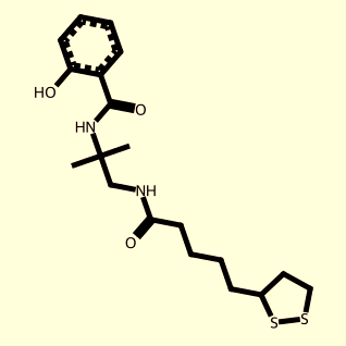 CC(C)(CNC(=O)CCCCC1CCSS1)NC(=O)c1ccccc1O